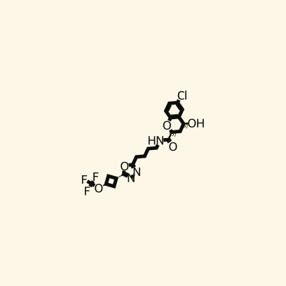 O=C(NCCCCc1nnc([C@H]2C[C@@H](OC(F)(F)F)C2)o1)[C@@H]1C[C@H](O)c2cc(Cl)ccc2O1